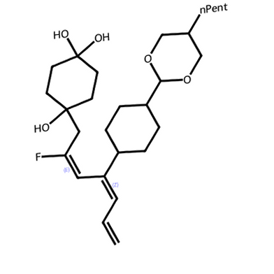 C=C/C=C(\C=C(\F)CC1(O)CCC(O)(O)CC1)C1CCC(C2OCC(CCCCC)CO2)CC1